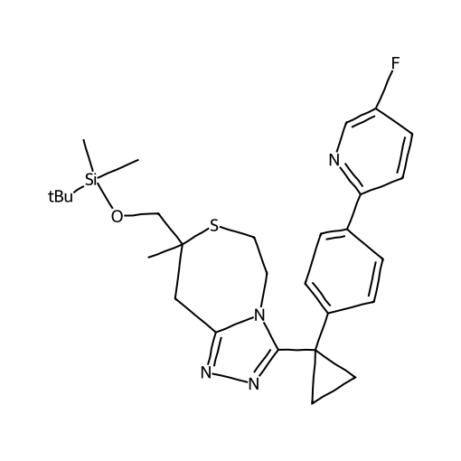 CC1(CO[Si](C)(C)C(C)(C)C)Cc2nnc(C3(c4ccc(-c5ccc(F)cn5)cc4)CC3)n2CCS1